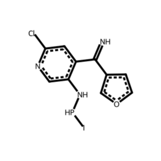 N=C(c1ccoc1)c1cc(Cl)ncc1NPI